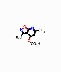 Cc1cc(OC(=O)O)c2c(C(C)(C)C)noc2n1